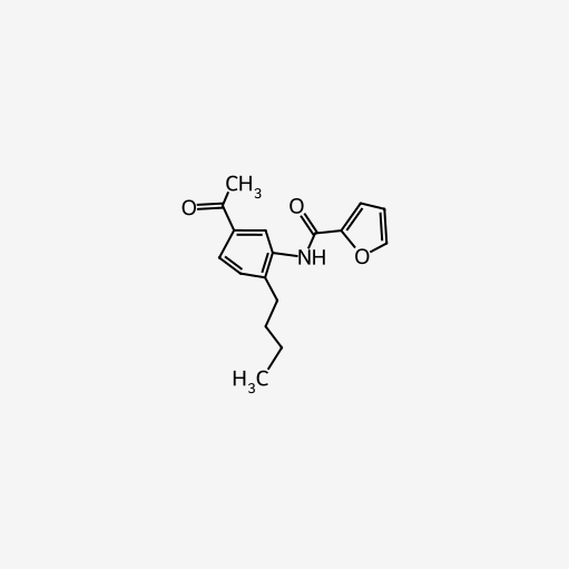 CCCCc1ccc(C(C)=O)cc1NC(=O)c1ccco1